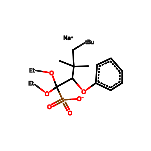 CCOC(OCC)(C(Oc1ccccc1)C(C)(C)CC(C)(C)C)S(=O)(=O)[O-].[Na+]